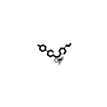 C/C=C/[C@H]1CC[C@H]([C@H]2[C@H]([C@H]3CC[C@H](C4CCC(C)CC4)CC3)OC2(F)F)CC1